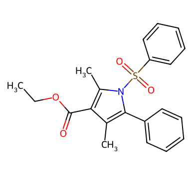 CCOC(=O)c1c(C)c(-c2ccccc2)n(S(=O)(=O)c2ccccc2)c1C